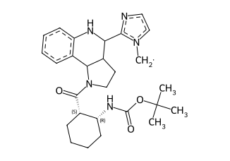 [CH2]n1ccnc1C1Nc2ccccc2C2C1CCN2C(=O)[C@H]1CCCC[C@H]1NC(=O)OC(C)(C)C